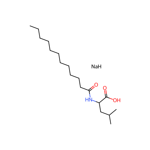 CCCCCCCCCCCC(=O)NC(CC(C)C)C(=O)O.[NaH]